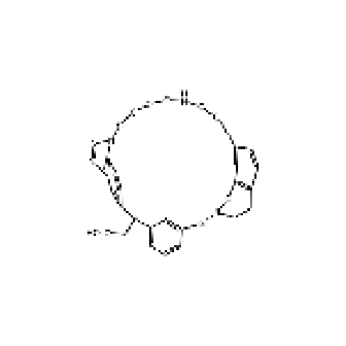 O=C(O)CC1c2cccc(c2)SN2CCc3ccc(cc3C2)CCCNCCCCn2nnc3cc1ccc32